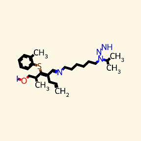 C=CCC(/C=N/CCCCCCN(N=N)C(C)C)=C(/Sc1ccccc1C)C(C)COI